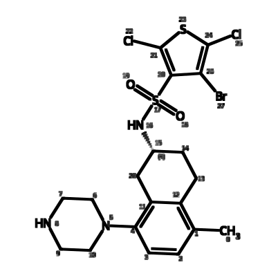 Cc1ccc(N2CCNCC2)c2c1CC[C@@H](NS(=O)(=O)c1c(Cl)sc(Cl)c1Br)C2